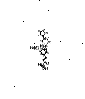 Cl.Cl.O=C(C=Cc1ccc(N[C@@H]2CCCN(C3CCCC3)C2)nc1)NO